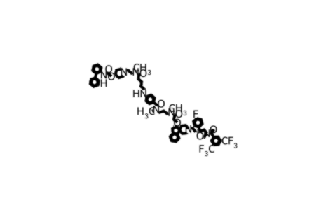 CN(CCN1CCC(OC(=O)Nc2ccccc2-c2ccccc2)CC1)C(=O)CCCCNc1ccc(C(=O)N(C)CCCN(C)C(=O)CO[C@H]2Cc3ccccc3C23CCN(CC[C@]2(c4ccc(F)cc4)CN(C(=O)c4cc(C(F)(F)F)cc(C(F)(F)F)c4)CO2)CC3)cc1